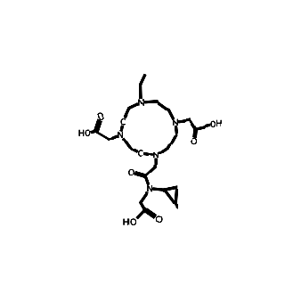 CCN1CCN(CC(=O)O)CCN(CC(=O)N(CC(=O)O)C2CC2)CCN(CC(=O)O)CC1